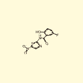 O=C(Nc1ncc([N+](=O)[O-])s1)c1cc(F)ccc1O